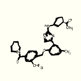 Cc1ccc(OCc2ccc(C(=O)N3CCCCC3)cc2C)c(-c2csc(NC3CC[C@@H](C(=O)O)C3)n2)c1